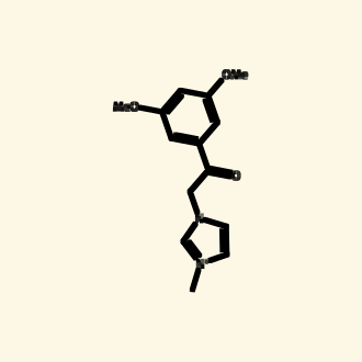 COc1cc(OC)cc(C(=O)Cn2cc[n+](C)c2)c1